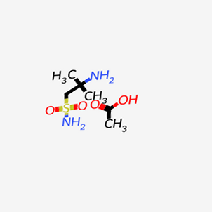 CC(=O)O.CC(C)(N)CS(N)(=O)=O